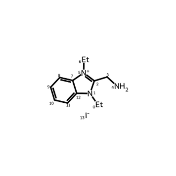 CCn1c(CN)[n+](CC)c2ccccc21.[I-]